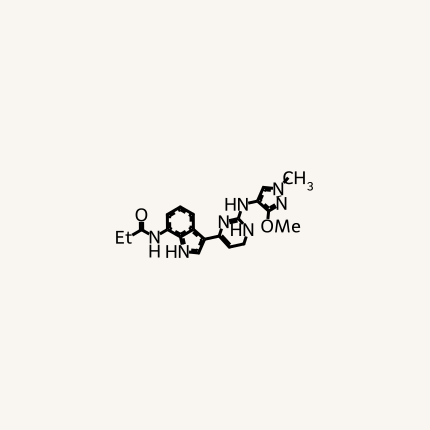 CCC(=O)Nc1cccc2c(C3=CCNC(Nc4cn(C)nc4OC)=N3)c[nH]c12